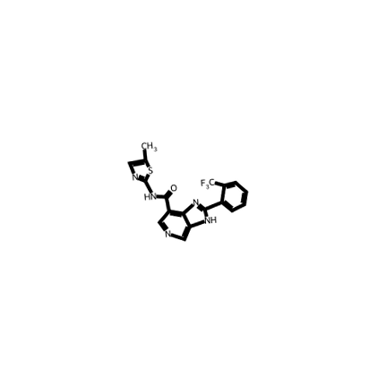 Cc1cnc(NC(=O)c2cncc3[nH]c(-c4ccccc4C(F)(F)F)nc23)s1